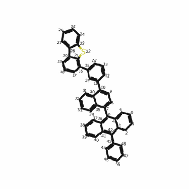 C1=CCC2C(=C1)C(c1ccc(-c3cccc(-c4cccc5c4sc4ccccc45)c3)c3ccccc13)=c1ccccc1=C2c1ccccc1